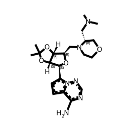 CN(C)C[C@@H]1COCCN1C[C@H]1O[C@@H](c2ccc3c(N)ncnn23)[C@@H]2OC(C)(C)O[C@@H]21